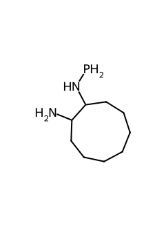 NC1CCCCCCCC1NP